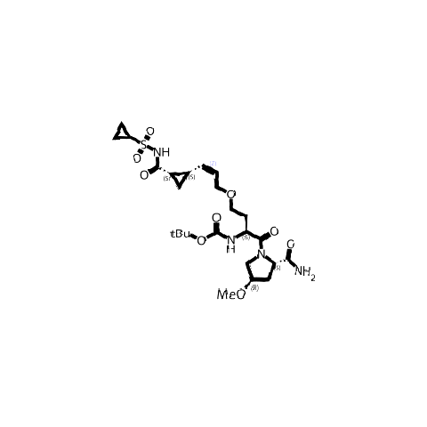 CO[C@@H]1C[C@@H](C(N)=O)N(C(=O)[C@H](CCOC/C=C\[C@@H]2C[C@@H]2C(=O)NS(=O)(=O)C2CC2)NC(=O)OC(C)(C)C)C1